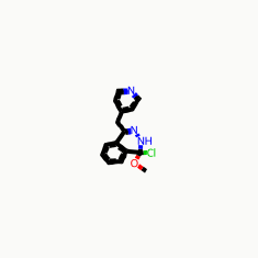 COC1(Cl)NN=C(Cc2ccncc2)c2ccccc21